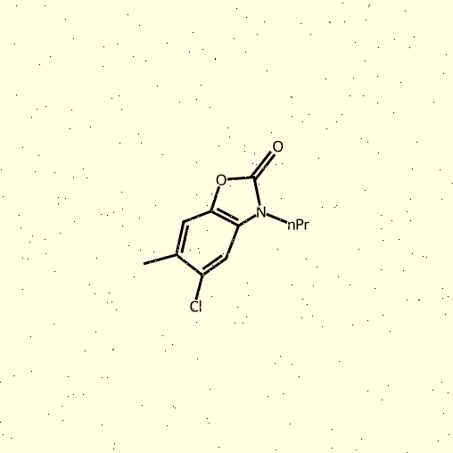 CCCn1c(=O)oc2cc(C)c(Cl)cc21